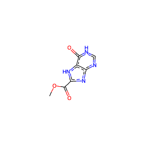 COC(=O)c1nc2nc[nH]c(=O)c2[nH]1